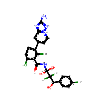 Nc1nc2cc(-c3ccc(Cl)c(C(=O)NC(O)(O)C(F)(F)C(O)c4ccc(F)cc4)c3F)ccn2n1